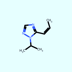 C/C=C\c1ncnn1C(C)C